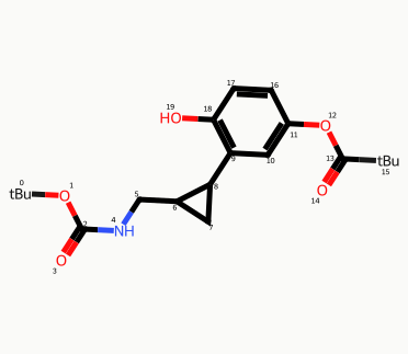 CC(C)(C)OC(=O)NCC1CC1c1cc(OC(=O)C(C)(C)C)ccc1O